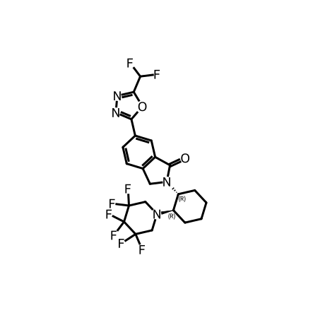 O=C1c2cc(-c3nnc(C(F)F)o3)ccc2CN1[C@@H]1CCCC[C@H]1N1CC(F)(F)C(F)(F)C(F)(F)C1